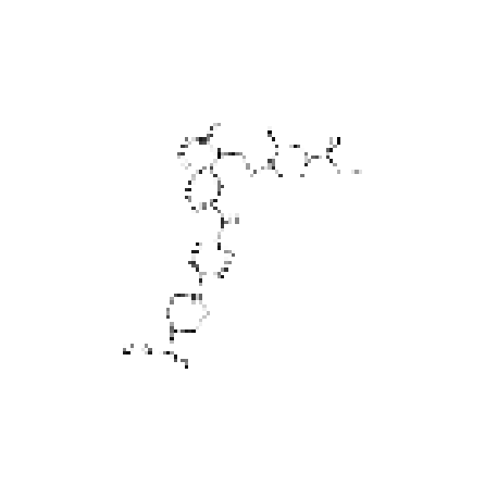 C=CC(=O)N1CCN(CCn2c(=O)ccc3cnc(Nc4ccc(N5CCN(C(=O)OC)CC5)cc4)nc32)[C@@H](C)C1